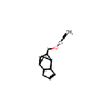 C=CCOCC1CC2CC1C1C=CCC21